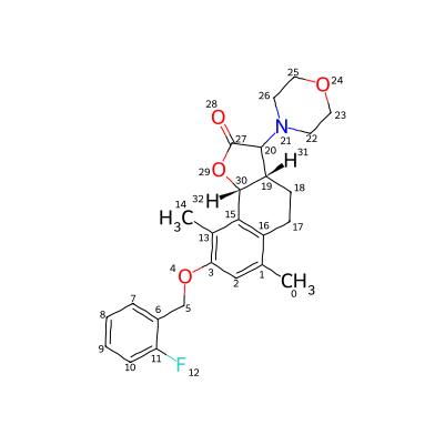 Cc1cc(OCc2ccccc2F)c(C)c2c1CC[C@H]1C(N3CCOCC3)C(=O)O[C@@H]21